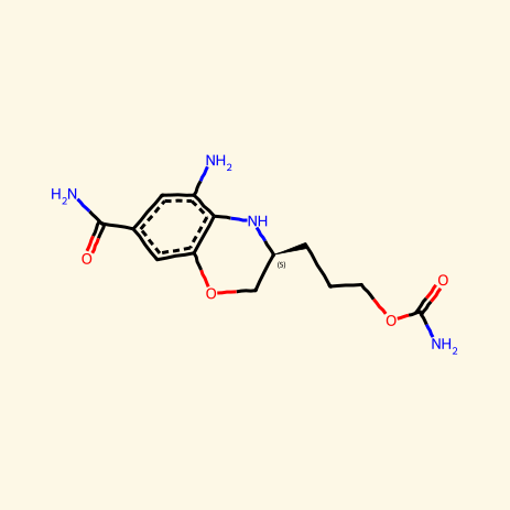 NC(=O)OCCC[C@H]1COc2cc(C(N)=O)cc(N)c2N1